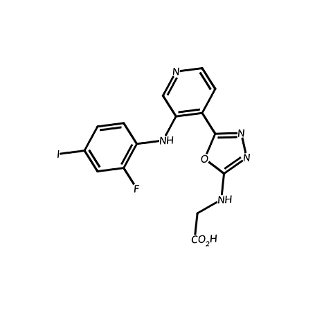 O=C(O)CNc1nnc(-c2ccncc2Nc2ccc(I)cc2F)o1